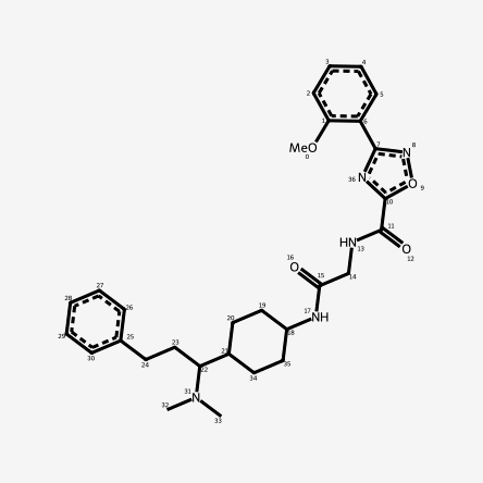 COc1ccccc1-c1noc(C(=O)NCC(=O)NC2CCC(C(CCc3ccccc3)N(C)C)CC2)n1